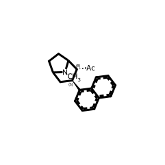 CC(=O)[C@H]1C2CCC(C[C@@H]1c1cccc3ccccc13)N2C